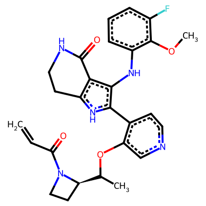 C=CC(=O)N1CC[C@@H]1C(C)Oc1cnccc1-c1[nH]c2c(c1Nc1cccc(F)c1OC)C(=O)NCC2